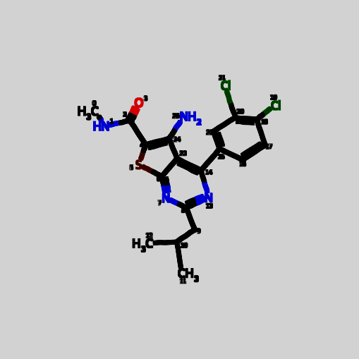 CNC(=O)c1sc2nc(CC(C)C)nc(-c3ccc(Cl)c(Cl)c3)c2c1N